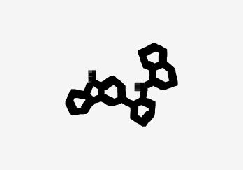 c1ccc(-c2ccc3[nH]c4ccccc4c3c2)c(Nc2cccc3ccccc23)c1